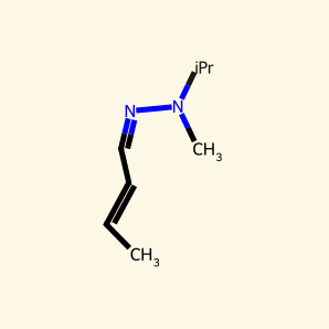 C/C=C/C=N\N(C)C(C)C